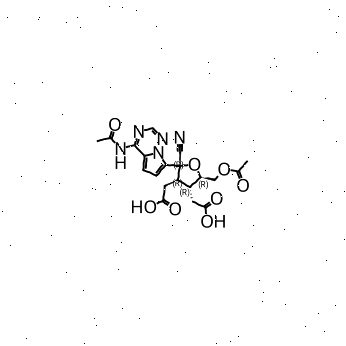 CC(=O)Nc1ncnn2c([C@]3(C#N)O[C@@H](COC(C)=O)[C@H](CC(=O)O)[C@H]3CC(=O)O)ccc12